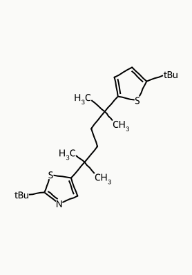 CC(C)(C)c1ccc(C(C)(C)CCC(C)(C)c2cnc(C(C)(C)C)s2)s1